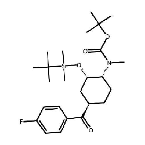 CN(C(=O)OC(C)(C)C)[C@@H]1CC[C@@H](C(=O)c2ccc(F)cc2)C[C@@H]1O[Si](C)(C)C(C)(C)C